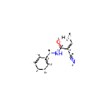 C/C=C(/C#N)C(=O)NCC1=CCCC=C1